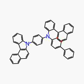 c1ccc(-c2ccc(N(c3ccc(-n4c5ccccc5c5c6ccccc6ccc54)cc3)c3ccccc3-c3cccc4ccccc34)cc2)cc1